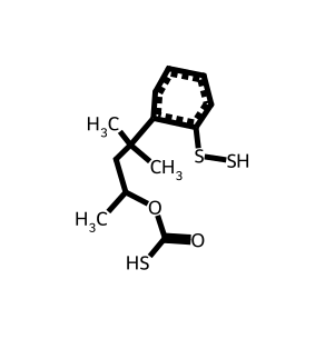 CC(CC(C)(C)c1ccccc1SS)OC(=O)S